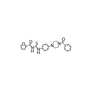 O=C(NC(=S)Nc1ccc(N2CCN(C(=O)c3ccccc3)CC2)cc1)c1ccco1